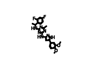 COc1ccc(-c2cc(Nc3nc(C)nc(NC(C)c4ccc(F)cc4F)n3)n[nH]2)cc1OC